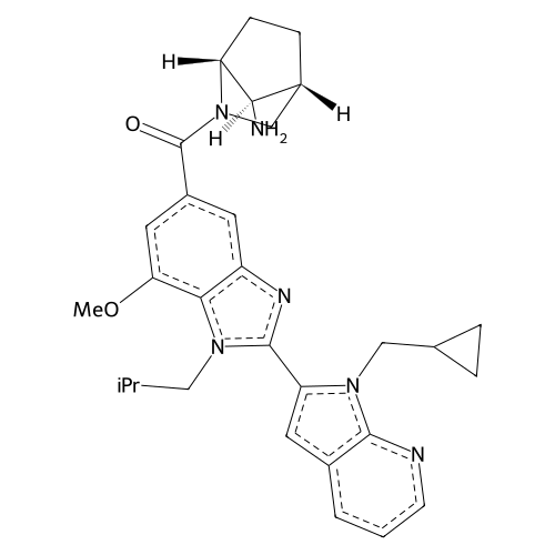 COc1cc(C(=O)N2C[C@H]3CC[C@@H]2[C@@H]3N)cc2nc(-c3cc4cccnc4n3CC3CC3)n(CC(C)C)c12